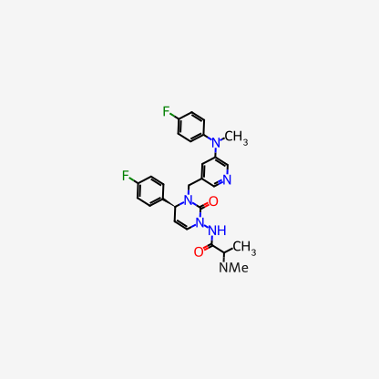 CNC(C)C(=O)NN1C=C[C@@H](c2ccc(F)cc2)N(Cc2cncc(N(C)c3ccc(F)cc3)c2)C1=O